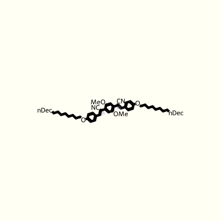 CCCCCCCCCCCCCCCCCCOc1ccc(/C=C(\C#N)c2cc(OC)c(/C(C#N)=C/c3ccc(OCCCCCCCCCCCCCCCCCC)cc3)cc2OC)cc1